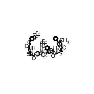 CC1CN(C(=O)c2csc(CNC(=O)C(CC(C)(C)OC(=O)NC3CCN(C(=O)c4csc(CNC(=O)COc5ccc(OC(F)(F)F)cc5)n4)CC3)Oc3ccc(OC(F)(F)F)cc3)n2)CCN1c1ccccc1